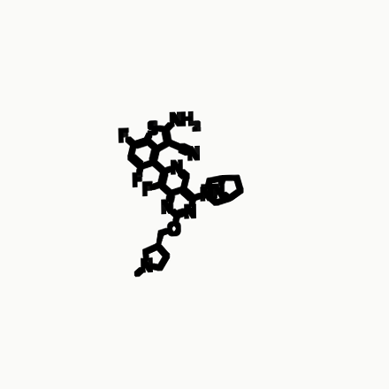 CN1CC[C@H](COc2nc(N3CC4CCC(C3)N4)c3cnc(-c4c(F)cc(F)c5sc(N)c(C#N)c45)c(F)c3n2)C1